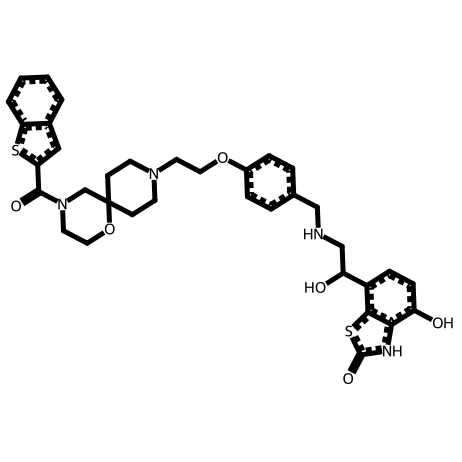 O=C(c1cc2ccccc2s1)N1CCOC2(CCN(CCOc3ccc(CNCC(O)c4ccc(O)c5[nH]c(=O)sc45)cc3)CC2)C1